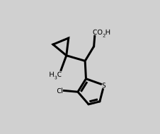 CC1(C(CC(=O)O)c2sccc2Cl)CC1